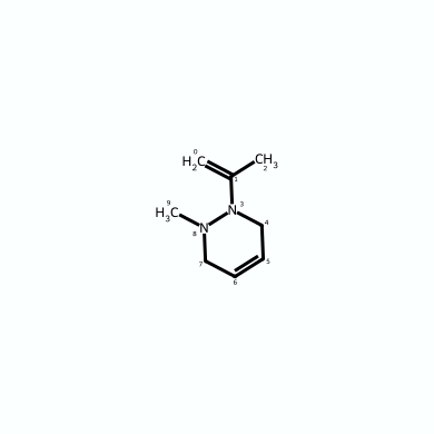 C=C(C)N1CC=CCN1C